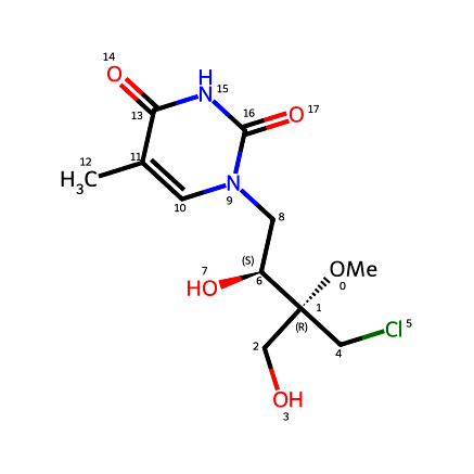 CO[C@@](CO)(CCl)[C@@H](O)Cn1cc(C)c(=O)[nH]c1=O